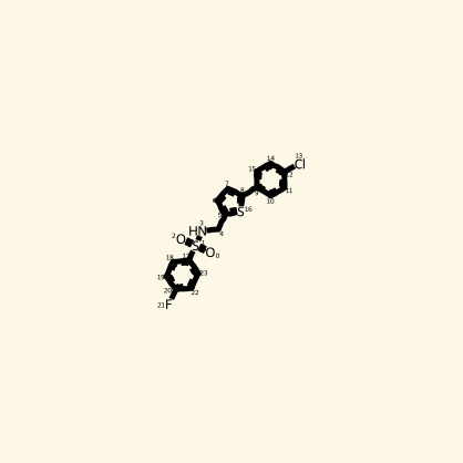 O=S(=O)(NCc1ccc(-c2ccc(Cl)cc2)s1)c1ccc(F)cc1